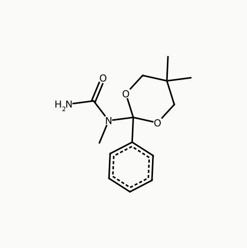 CN(C(N)=O)C1(c2ccccc2)OCC(C)(C)CO1